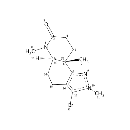 CN1C(=O)CC[C@]2(C)c3nn(C)c(Br)c3CC[C@@H]12